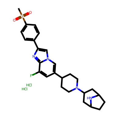 CS(=O)(=O)c1ccc(-c2cn3cc(C4CCN(C5CC6CCC(C5)N6)CC4)cc(F)c3n2)cc1.Cl.Cl